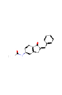 CC(=O)Nc1ccc2c(c1)C/C(=C/c1ccccc1)C2=O